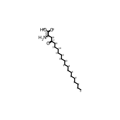 CCCCCCCCCCCCCCCCCC(=O)C[C@@H](N)C(=O)O